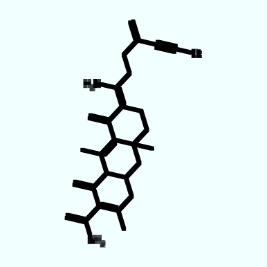 C=C(C#CCC)CC/C(N)=C1\CCC2(C)CC3CC(C)=C(C(=C)N)C(=C)C3C(C)=C2C1=C